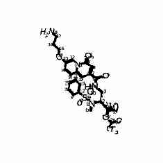 CN([C@@H](CNC(=O)c1cc(=O)n2cc(OCCCN)ccc2c1)C(=O)OC(=O)C(F)(F)F)S(=O)(=O)c1ccccc1